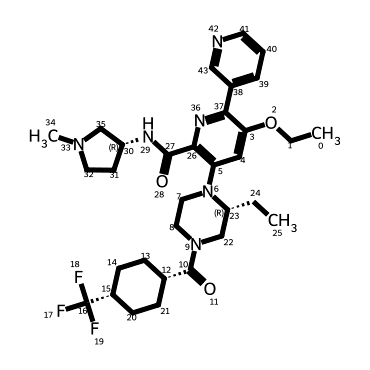 CCOc1cc(N2CCN(C(=O)[C@H]3CC[C@@H](C(F)(F)F)CC3)C[C@H]2CC)c(C(=O)N[C@@H]2CCN(C)C2)nc1-c1cccnc1